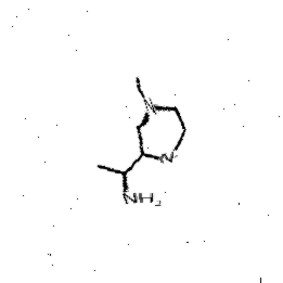 CC(N)C1CN(C)CC[N]1